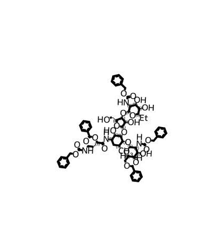 CC[C@@H]1O[C@H](O[C@H]2[C@@H](O)[C@H](O[C@@H]3[C@@H](O)[C@H](NC(=O)[C@H](CCNC(=O)OCc4ccccc4)OC(=O)c4ccccc4)C[C@H](C)[C@H]3O[C@H]3O[C@@H]4COC(c5ccccc5)O[C@H]4[C@H](O)[C@H]3NC(=O)OCc3ccccc3)O[C@@H]2CO)[C@H](NC(=O)OCc2ccccc2)[C@@H](O)[C@@H]1O